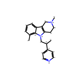 Cc1cccc2c3c(n(CC(C)c4ccncc4)c12)CCN(C)C3